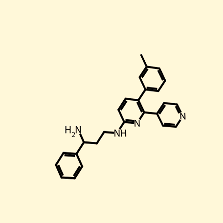 Cc1cccc(-c2ccc(NCCC(N)c3ccccc3)nc2-c2ccncc2)c1